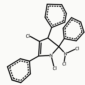 ClC1=C(c2ccccc2)N(Cl)C(c2ccccc2)(N(Cl)Cl)C1c1ccccc1